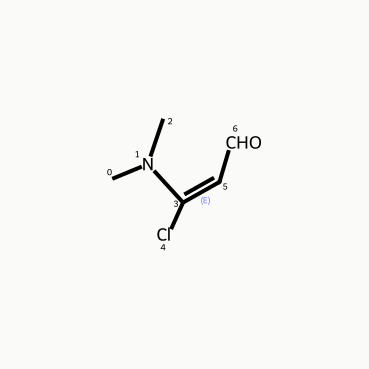 CN(C)/C(Cl)=C\C=O